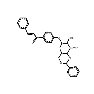 CC(=O)NC1C(Oc2ccc(C(=O)C=Cc3ccccc3)cc2)OC2COC(c3ccccc3)OC2C1O